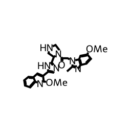 COc1ccc2nc(C)n(CC(=O)N3CCNCC3c3ncc(-c4cc5ccccc5nc4OC)[nH]3)c2c1